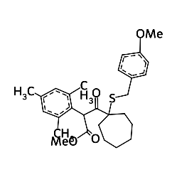 COC(=O)C(C(=O)C1(SCc2ccc(OC)cc2)CCCCCC1)c1c(C)cc(C)cc1C